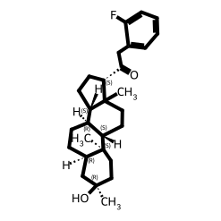 CC12CC[C@H]3[C@@H](CC[C@@H]4C[C@](C)(O)CC[C@@]43C)[C@@H]1CC[C@@H]2C(=O)Cc1ccccc1F